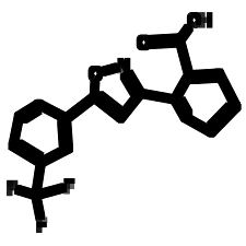 O=C(O)c1ccccc1-c1cc(-c2cccc(C(F)(F)F)c2)on1